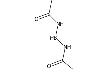 CC(=O)NBNC(C)=O